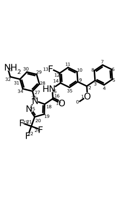 COC(c1ccccc1)c1ccc(F)c(NC(=O)c2cc(C(F)(F)F)nn2-c2cccc(CN)c2)c1